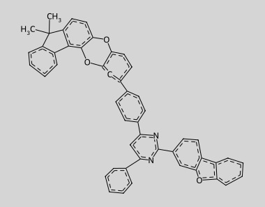 CC1(C)c2ccccc2-c2c1ccc1c2Oc2cc(-c3ccc(-c4cc(-c5ccccc5)nc(-c5ccc6c(c5)oc5ccccc56)n4)cc3)ccc2O1